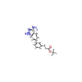 CC(C)(C)OC(=O)CCc1cccc(-c2ccc3c(N)n[nH]c3c2)c1